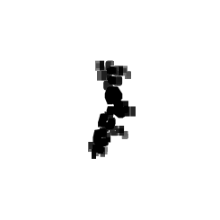 CC(C)NC(=O)Oc1ccc(-c2n[nH]cc2CN2CCN(c3ccc(C(F)(F)F)cn3)C(C)C2)cc1